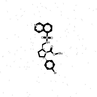 CC(C)(C)OC(=O)N1[C@H](CNS(=O)(=O)c2cccc3cnccc23)CC[C@H]1c1ccc(Br)cc1